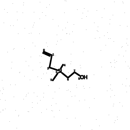 C=CC[Si](C)(C)CCO